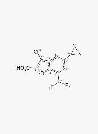 O=C(O)c1oc2c(C(F)F)cc(C3CC3)cc2c1Cl